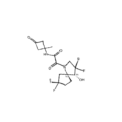 CC1(NC(=O)C(=O)N2CC(F)(F)[C@H](O)[C@@]23CCC(F)(F)C3)CC(=O)C1